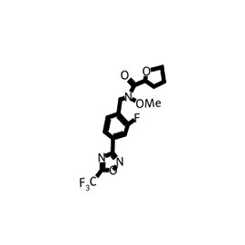 CON(Cc1ccc(-c2noc(C(F)(F)F)n2)cc1F)C(=O)C1CCCO1